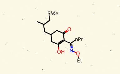 CCC/C(=N\OCC)C1=C(O)CC(CC(C)CSC)CC1=O